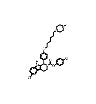 CN1CCN(CCCCCCOc2ccc(C3c4[nH]c5ccc(Cl)cc5c4CCN3C(=O)Oc3ccc(Cl)cc3)cc2)CC1